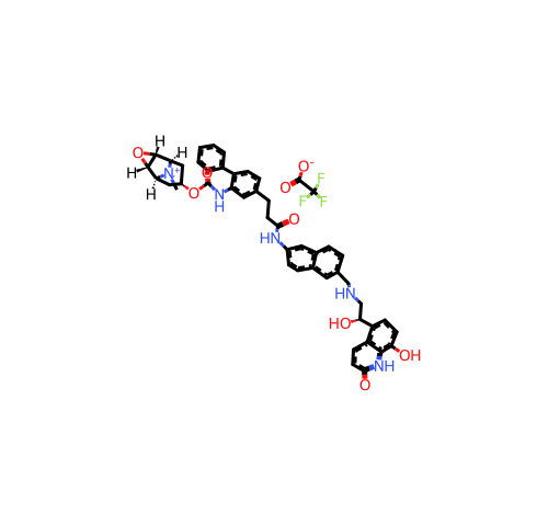 C[N+]1(C)[C@@H]2C[C@@H](OC(=O)Nc3cc(CCC(=O)Nc4ccc5cc(CNC[C@H](O)c6ccc(O)c7[nH]c(=O)ccc67)ccc5c4)ccc3-c3ccccc3)C[C@H]1[C@@H]1O[C@@H]12.O=C([O-])C(F)(F)F